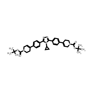 CC(C)(C)OC(=O)N1CC=C(c2ccc(-c3nnc(-c4ccc(C5=CCN(C(=O)OC(C)(C)C)CC5)cc4)n3C3CC3)cc2)CC1